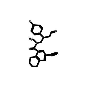 CN(CC(CC=O)c1ccc(F)cc1)C(=O)c1cc(C#N)cc2c1CCCC2